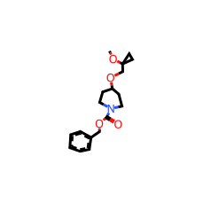 COC1(COC2CCN(C(=O)OCc3ccccc3)CC2)CC1